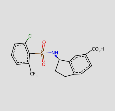 O=C(O)c1ccc2c(c1)[C@H](NS(=O)(=O)c1c(Cl)cccc1C(F)(F)F)CC2